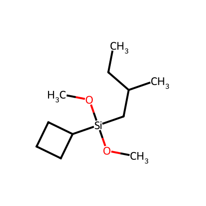 CCC(C)C[Si](OC)(OC)C1CCC1